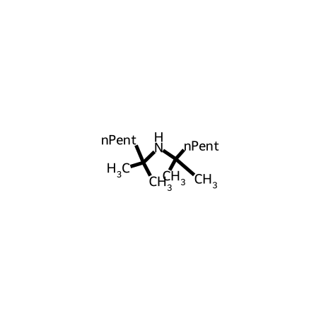 CCCCCC(C)(C)NC(C)(C)CCCCC